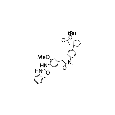 COc1cc(CC(=O)N(C)c2ccc(C3(CC(=O)OC(C)(C)C)CCCC3)cc2)ccc1NC(=O)Nc1ccccc1C